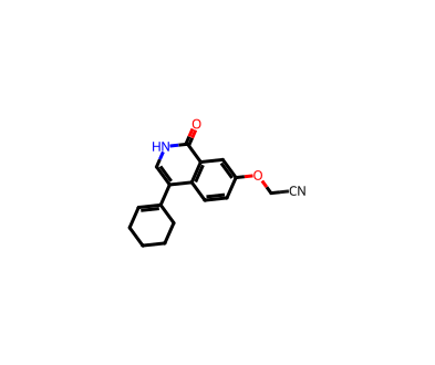 N#CCOc1ccc2c(C3=CCCCC3)c[nH]c(=O)c2c1